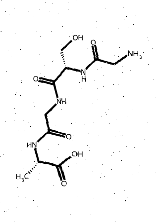 C[C@H](NC(=O)CNC(=O)[C@H](CO)NC(=O)CN)C(=O)O